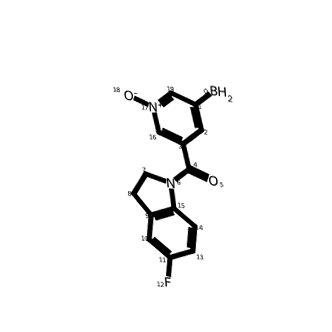 Bc1cc(C(=O)N2CCc3cc(F)ccc32)c[n+]([O-])c1